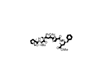 CC[C@H](C)[C@H](NC(=O)[C@]1(C)CCCN1C)C(=O)N(C)[C@H](C[C@@H](OC(C)=O)c1nc(C(=O)N=N[C@@H](Cc2ccccc2)C[C@H](C)C(=O)OC)cs1)C(C)C